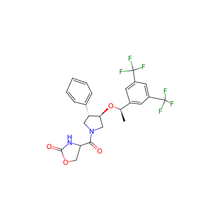 C[C@@H](O[C@H]1CN(C(=O)C2COC(=O)N2)C[C@@H]1c1ccccc1)c1cc(C(F)(F)F)cc(C(F)(F)F)c1